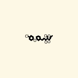 CC1=CC(=O)C(C(=O)C=Cc2cccc(Oc3ccc(Cl)cc3)c2)C(=O)O1